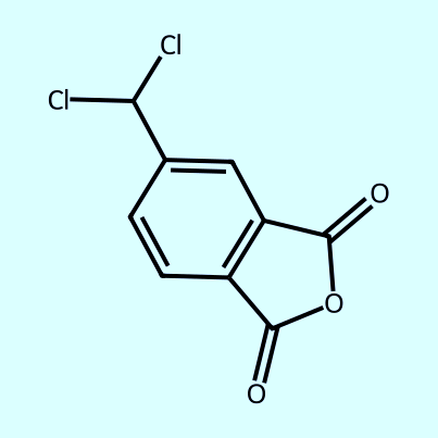 O=C1OC(=O)c2cc(C(Cl)Cl)ccc21